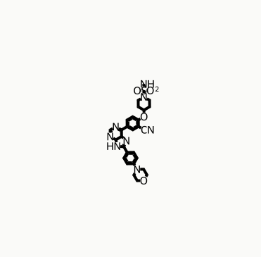 N#Cc1cc(C2=NC=NC3NC(c4ccc(N5CCOCC5)cc4)=NC23)ccc1OC1CCN(S(N)(=O)=O)CC1